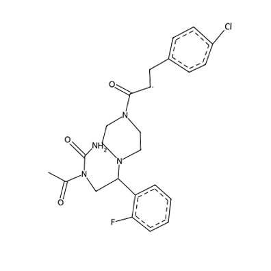 CC(=O)N(CC(c1ccccc1F)N1CCN(C(=O)[CH]Cc2ccc(Cl)cc2)CC1)C(N)=O